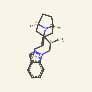 COC/C=C1\C[C@H]2CC[C@@H](C1)N2C[C@@H](C)Cn1ncc2ccccc21